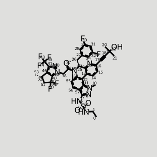 CCNS(=O)(=O)Nc1nn(C)c2c(-c3ccc(C#CC(C)(C)O)nc3[C@H](Cc3cc(F)cc(F)c3)NC(=O)Cn3nc(C(F)(F)F)c4c3C(F)(F)C[C@@H]4C)cccc12